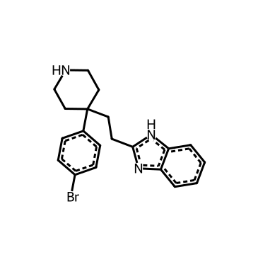 Brc1ccc(C2(CCc3nc4ccccc4[nH]3)CCNCC2)cc1